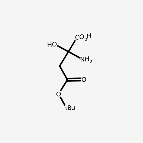 CC(C)(C)OC(=O)CC(N)(O)C(=O)O